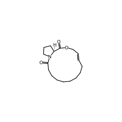 O=C1OC/C=C/CCCCCCCCC(=O)N2CCC[C@@H]12